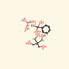 CCC(O)(O)c1ccccc1.OCC(CO)(CO)CO.OP(O)O